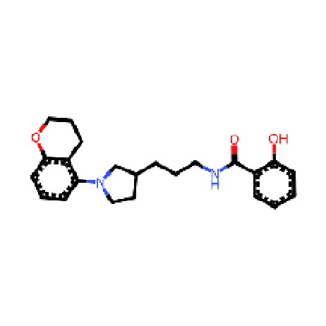 O=C(NCCCC1CCN(c2cccc3c2CCCO3)C1)c1ccccc1O